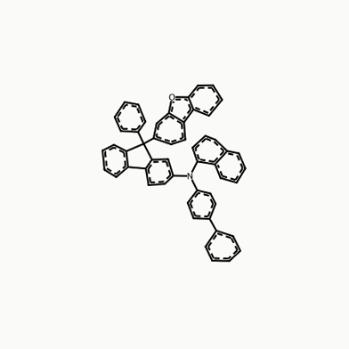 c1ccc(-c2ccc(N(c3ccc4c(c3)C(c3ccccc3)(c3ccc5c(c3)oc3ccccc35)c3ccccc3-4)c3cccc4ccccc34)cc2)cc1